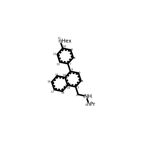 [CH2]CCNCc1ccc(-c2ccc(CCCCCC)cc2)c2ccccc12